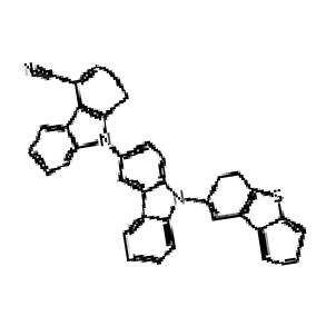 N#CC1=CCCc2c1c1ccccc1n2-c1ccc2c(c1)c1ccccc1n2C1=Cc2c(sc3ccccc23)CC1